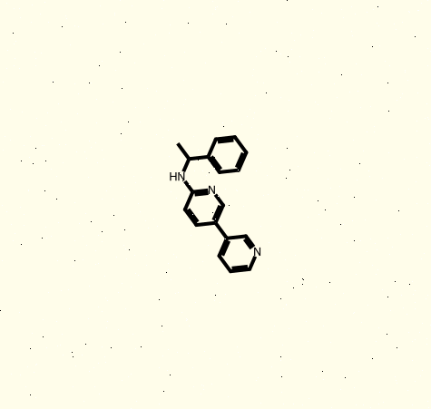 CC(Nc1ccc(-c2cccnc2)cn1)c1ccccc1